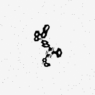 c1ccc(-c2nc(-c3ccc4cc(N5c6ccc7ccccc7c6-c6cccc7cccc5c67)ccc4c3)nc(-c3ccc4oc5ccccc5c4c3)n2)cc1